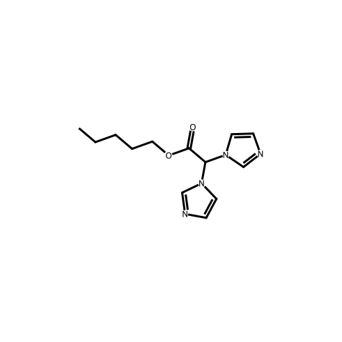 CCCCCOC(=O)C(n1ccnc1)n1ccnc1